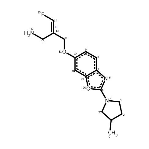 CC1CCN(c2nc3ccc(OC/C(=C/F)CN)cc3o2)C1